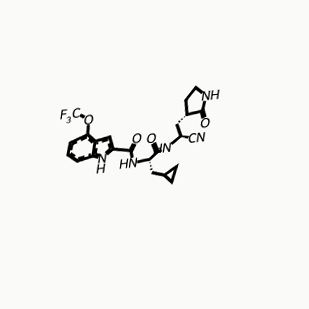 N#C[C@H](C[C@@H]1CCNC1=O)NC(=O)[C@H](CC1CC1)NC(=O)c1cc2c(OC(F)(F)F)cccc2[nH]1